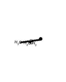 CCCCCCCCCCC[C@@H](OC(=O)CCCCCCCCc1ccccc1)C(C)C